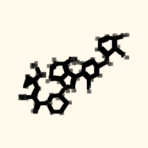 CC(C)NC1(C=C(C#N)C(=O)N2CCC[C@H](n3nc(-c4ccc(Oc5cccc(F)c5F)cc4F)c4c(N)ncnc43)C2)CC1